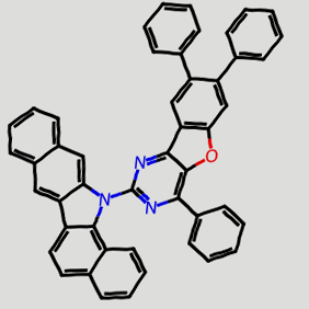 c1ccc(-c2cc3oc4c(-c5ccccc5)nc(-n5c6cc7ccccc7cc6c6ccc7ccccc7c65)nc4c3cc2-c2ccccc2)cc1